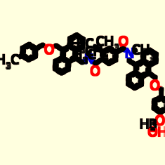 Cc1ccc(COCc2c3ccccc3c(CN(C)C(=O)c3ccc(C(=O)N(C)Cc4c5ccccc5c(COCc5ccc(OBO)cc5)c5ccccc45)cc3C(C)(C)C)c3ccccc23)cc1